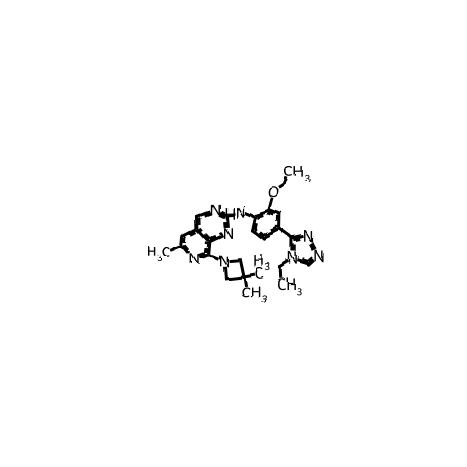 CCOc1cc(-c2nncn2CC)ccc1Nc1ncc2cc(C)nc(N3CC(C)(C)C3)c2n1